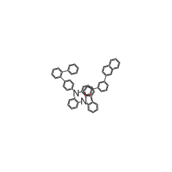 c1ccc(-c2ccccc2-c2ccc(N(c3ccc(-c4cccc(-c5ccc6ccccc6c5)c4)cc3)c3ccccc3-n3c4ccccc4c4ccccc43)cc2)cc1